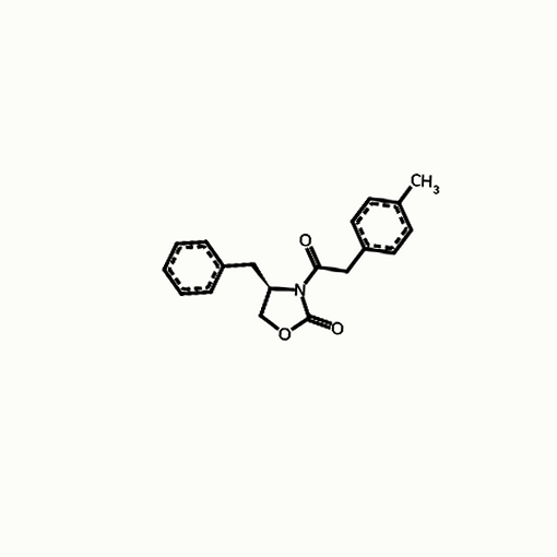 Cc1ccc(CC(=O)N2C(=O)OC[C@H]2Cc2ccccc2)cc1